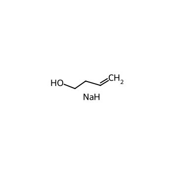 C=CCCO.[NaH]